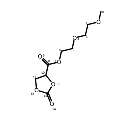 COCCOCCOC(=O)C1COC(=O)O1